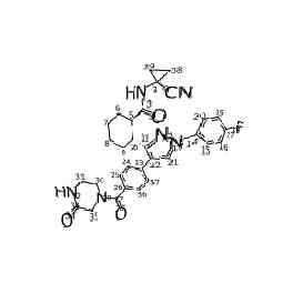 N#CC1(NC(=O)[C@@H]2CCCC[C@H]2c2nn(-c3ccc(F)cc3)cc2-c2ccc(C(=O)N3CCNC(=O)C3)cc2)CC1